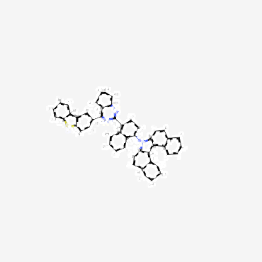 c1ccc2c(c1)ccc1c2c2c3ccccc3ccc2n1-c1ccc(-c2nc(-c3ccc4sc5ccccc5c4c3)c3ccccc3n2)c2ccccc12